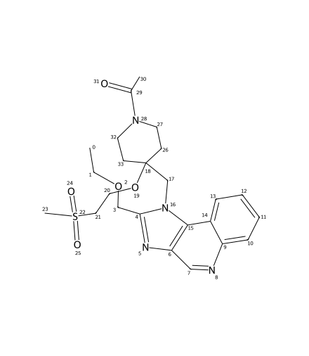 CCOCc1nc2cnc3ccccc3c2n1CC1(OCCS(C)(=O)=O)CCN(C(C)=O)CC1